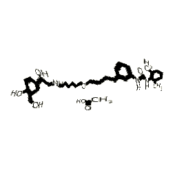 CC(=O)O.Cc1cccc(C)c1NC(=O)Nc1cccc(CCCCOCCCCCCNC[C@H](O)c2ccc(O)c(CO)c2)c1